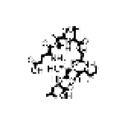 CC[C@H](C)[C@H](NC(=O)CNC(=O)[C@H](CO)NC(=O)[C@H](C)NC(=O)[C@@H](N)CCC(=O)O)C(=O)N[C@@H](CO)C(=O)N[C@@H](CC(C)C)C(=O)O